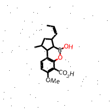 C/C=C\C1CC(C)C2c3ccc(OC)c(C(=O)O)c3OB(O)C12